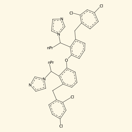 CCCC(c1c(Cc2ccc(Cl)cc2Cl)cccc1Oc1cccc(Cc2ccc(Cl)cc2Cl)c1C(CCC)n1ccnc1)n1ccnc1